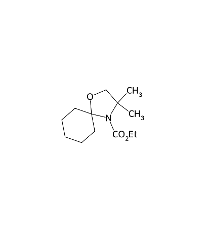 CCOC(=O)N1C(C)(C)COC12CCCCC2